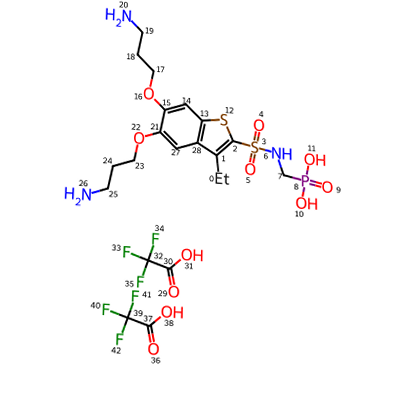 CCc1c(S(=O)(=O)NCP(=O)(O)O)sc2cc(OCCCN)c(OCCCN)cc12.O=C(O)C(F)(F)F.O=C(O)C(F)(F)F